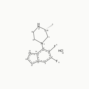 C[C@@H]1CN(c2c(F)c(F)cc3ccoc23)CCN1.Cl